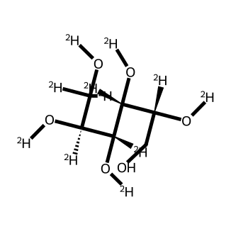 [2H]OC([2H])([2H])[C@]([2H])(O[2H])[C@@]([2H])(O[2H])[C@]([2H])(O[2H])[C@@]([2H])(CO)O[2H]